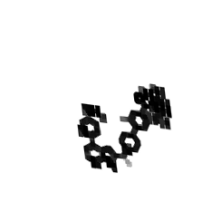 [2H]C([2H])([2H])N(C(=O)c1ccc(C2=CCN([C@H](C)c3cc4c(-c5ccc(N)cn5)ccnc4n3C)CC2)c(C)c1)C([2H])([2H])[2H]